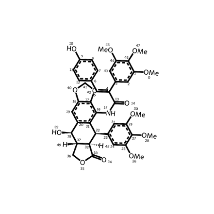 COc1cc(/C(=C\c2ccc(O)cc2)C(=O)Nc2c3c(cc4c2[C@@H](c2cc(OC)c(OC)c(OC)c2)[C@H]2C(=O)OC[C@@H]2[C@H]4O)OCO3)cc(OC)c1OC